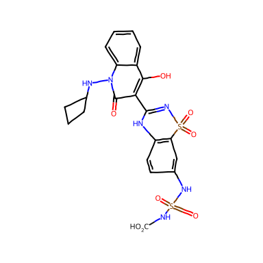 O=C(O)NS(=O)(=O)Nc1ccc2c(c1)S(=O)(=O)N=C(c1c(O)c3ccccc3n(NC3CCC3)c1=O)N2